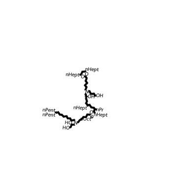 CCCCCCCCOC(CCCCCCN(CCCO)C[C@@H](O)CCCCCCCC(CCCCC)CCCCC)OC(CCCCCCC)C(CCC)CCCC(CCCCCCC)CCC[C@H](O)CN(CCCCO)CCCCCCC1OC(CCCCCCC)CC(CCCCCCC)O1